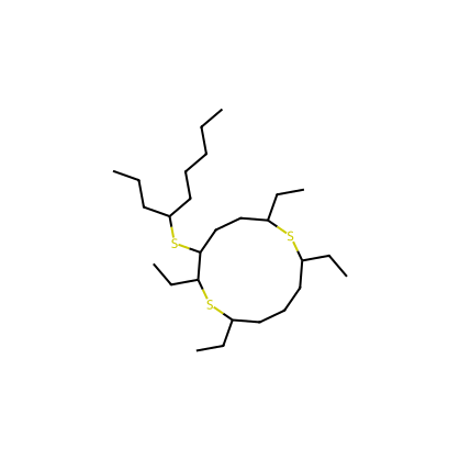 CCCCCC(CCC)SC1CCC(CC)SC(CC)CCCC(CC)SC1CC